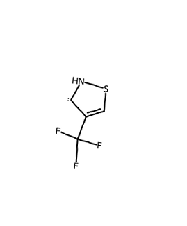 FC(F)(F)C1=CSN[C]1